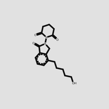 O=C1c2cccc(CCCCCO)c2CN1N1C(=O)CCCC1=O